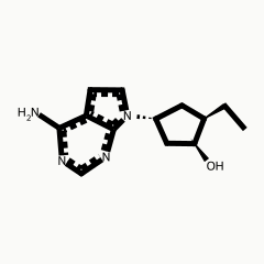 CC[C@@H]1C[C@@H](n2ccc3c(N)ncnc32)C[C@@H]1O